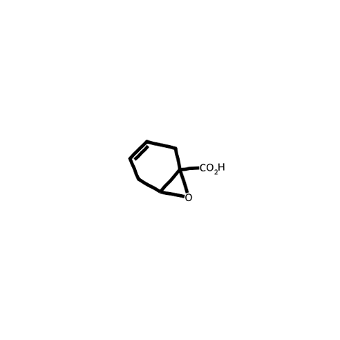 O=C(O)C12CC=CCC1O2